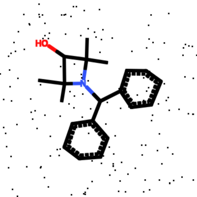 CC1(C)C(O)C(C)(C)N1C(c1ccccc1)c1ccccc1